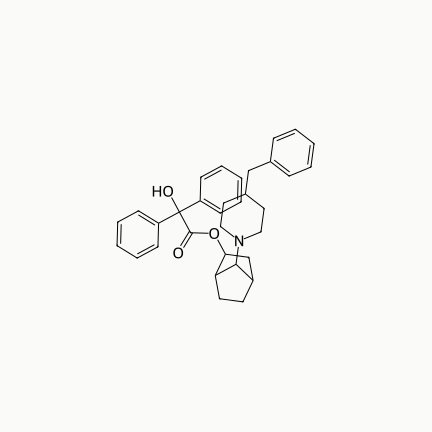 O=C(OC1CC2CCC1C2N1CCC(Cc2ccccc2)CC1)C(O)(c1ccccc1)c1ccccc1